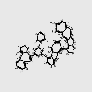 c1ccc(-c2nc(-c3cc4ccccc4c4ccccc34)nc(-c3cccc4oc5c(-c6cccc7sc8cc9ccccc9cc8c67)cccc5c34)n2)cc1